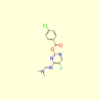 CN(C)/C=N/c1nc(OC(=O)c2ccc(Cl)cc2)ncc1F